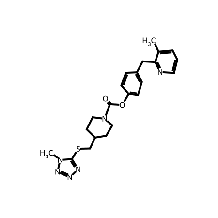 Cc1cccnc1Cc1ccc(OC(=O)N2CCC(CSc3nnnn3C)CC2)cc1